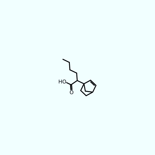 CCCCC(C(=O)O)C12C=CC(CC1)C2